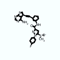 C[S+]([O-])c1cc(C(=O)Nc2cccc(C#Cc3csc4ncnc(N)c34)c2)nn1-c1ccc(F)cc1